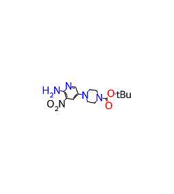 CC(C)(C)OC(=O)N1CCN(c2cnc(N)c([N+](=O)[O-])c2)CC1